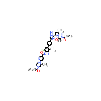 CNC(=O)N1CCN(c2ccc(C(=O)Nc3cc(C(F)(F)F)c(-c4ccc(-c5c[nH]c([C@@H]6C[C@H](C)CN6C(=O)[C@@H](NC(=O)OC)C(C)C)n5)cc4)cc3F)cn2)[C@H](C)C1